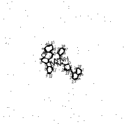 C1=Cc2c(ccc3c4ccccc4n(C4=NC(c5ccc(-c6cccc7ccccc67)cc5)NC(c5ccccc5)=N4)c23)Oc2ccccc21